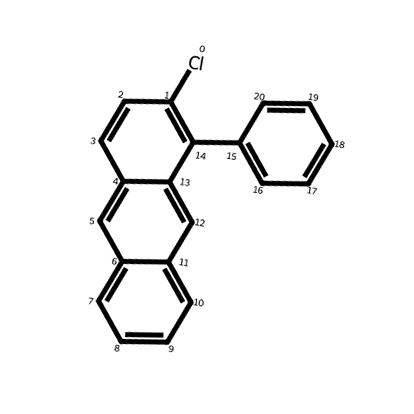 Clc1ccc2cc3ccccc3cc2c1-c1ccccc1